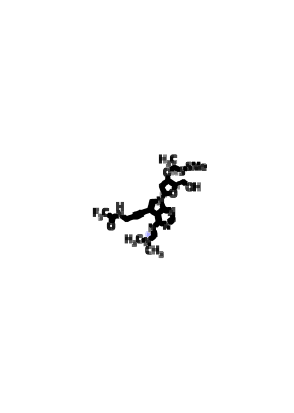 CSS[C@@H](C)OC1C[C@H](n2cc(C#CCNC(=O)C(F)(F)F)c3c(/N=C/N(C)C)ncnc32)O[C@@H]1CO